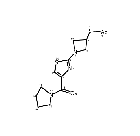 CC(=O)SC1CN(c2nc(C(=O)N3CCCC3)cs2)C1